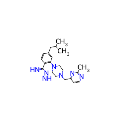 Cc1nccc(CN2CCN(c3cc(CC(C)C)ccc3C(=N)N=N)CC2)n1